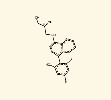 OC[C@@H](O)CNc1nnc(-c2c(O)cc(F)cc2F)c2ccccc12